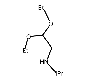 CCOC(CNC(C)C)OCC